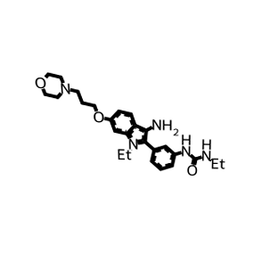 CCNC(=O)Nc1cccc(-c2c(N)c3ccc(OCCCN4CCOCC4)cc3n2CC)c1